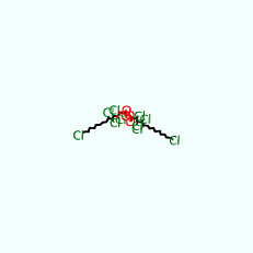 O=C(OOC(=O)C(Cl)C(Cl)C(Cl)C(Cl)CCCCCCCCCCl)C(Cl)C(Cl)C(Cl)C(Cl)CCCCCCCCCCl